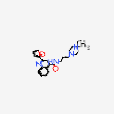 CN1CCN(CCCNC(=O)c2cc(-c3ccco3)nc3ccccc23)CC1